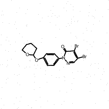 O=c1c(Br)c(Br)cnn1-c1ccc(OC2CCCCO2)cc1